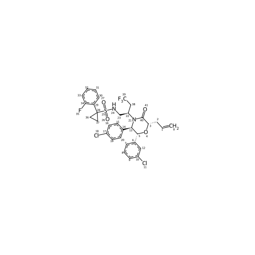 C=CC[C@@H]1O[C@H](c2cccc(Cl)c2)[C@@H](c2ccc(Cl)cc2)N([C@@H](CNS(=O)(=O)C2(c3ccccc3F)CC2)CC(F)(F)F)C1=O